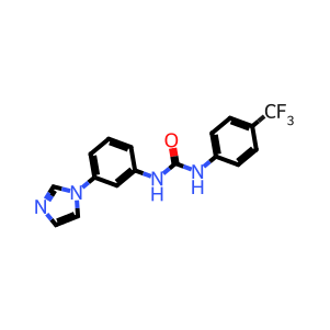 O=C(Nc1ccc(C(F)(F)F)cc1)Nc1cccc(-n2ccnc2)c1